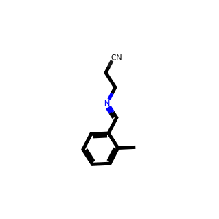 Cc1ccccc1/C=N/CCC#N